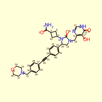 NC(=O)C1CC(N2C(=O)N(Cc3nc[nH]c(=O)c3O)CC2c2ccc(C#Cc3ccc(CN4CCOCC4)cc3)cc2)C1